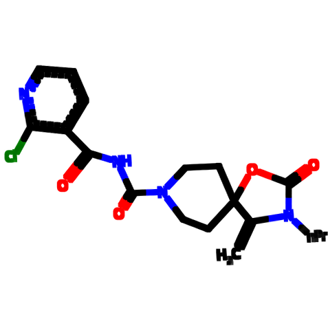 C=C1N(CCC)C(=O)OC12CCN(C(=O)NC(=O)c1cccnc1Cl)CC2